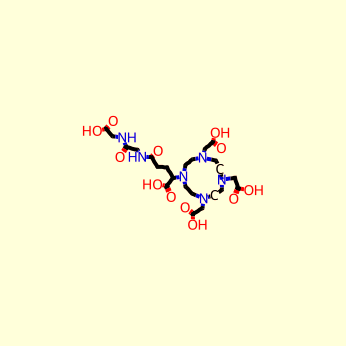 O=C(O)CNC(=O)CNC(=O)CCC(C(=O)O)N1CCN(CC(=O)O)CCN(CC(=O)O)CCN(CC(=O)O)CC1